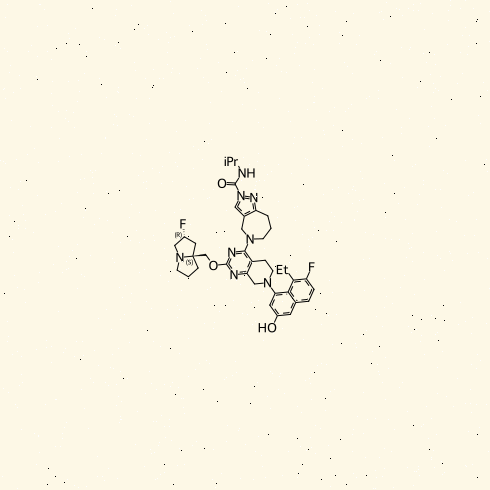 CCc1c(F)ccc2cc(O)cc(N3CCc4c(nc(OC[C@@]56CCCN5C[C@H](F)C6)nc4N4CCCc5nn(C(=O)NC(C)C)cc5C4)C3)c12